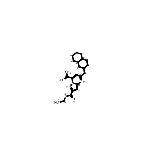 C=C(C)c1cc(CC2CCC3CCCCC3C2)nc2cc(C(=O)OCC)nn12